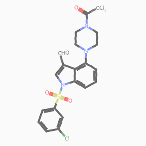 O=Cc1cn(S(=O)(=O)c2cccc(Cl)c2)c2cccc(N3CCN(C(=O)C(Cl)(Cl)Cl)CC3)c12